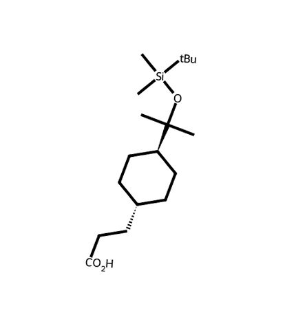 CC(C)(C)[Si](C)(C)OC(C)(C)[C@H]1CC[C@H](CCC(=O)O)CC1